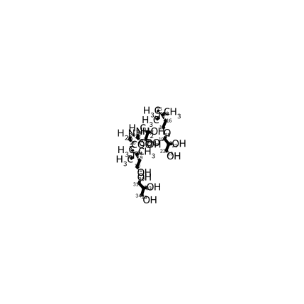 CC(O)CO.C[N+](C)(C)CCO.C[N+](C)(C)CCOCC(O)CO.NCC(=O)[O-].NCC(=O)[O-].OCC(O)CO